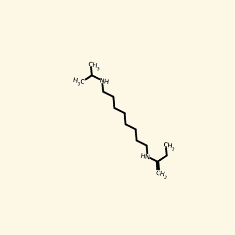 C=C(CC)NCCCCCCCCNC(C)C